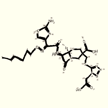 CCCCCCON=C(C(=O)NC1C(=O)N2CC(CSc3nnnn3CC(=O)O)(C(=O)O)CS[C@H]12)c1csc(N)n1